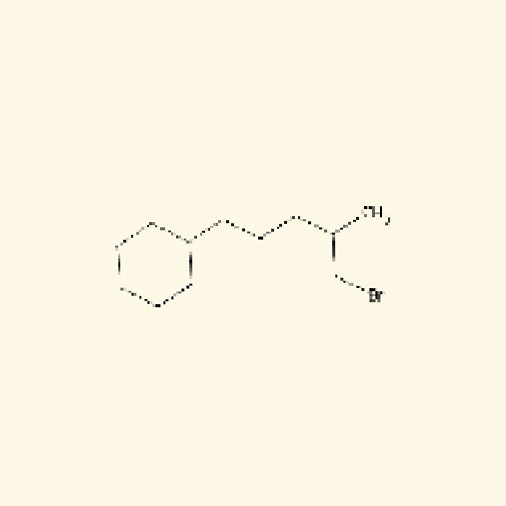 CC(CBr)CCCC1CCCCC1